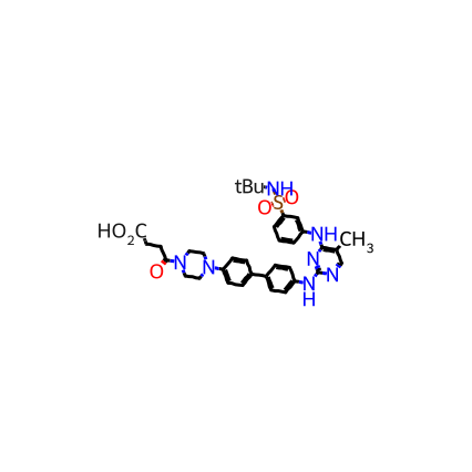 Cc1cnc(Nc2ccc(-c3ccc(N4CCN(C(=O)CCC(=O)O)CC4)cc3)cc2)nc1Nc1cccc(S(=O)(=O)NC(C)(C)C)c1